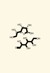 O=CC(O)C(O)C(O)C(O)CO.OC[C@H](O)[C@H]1O[C@H](O)[C@@H](O)[C@H]1O